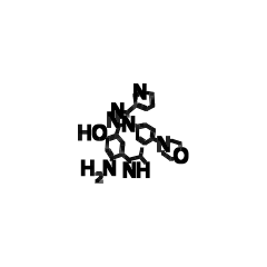 CC(C)C(=N)c1cc(-c2nnc(-c3cccnc3)n2-c2ccc(N3CCOCC3)cc2)c(O)cc1N